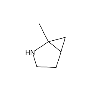 CC12CC1CCN2